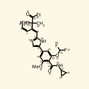 C/C=C\C(=C/c1ncc(-c2cc(OC)c(C(=O)NC3CC3)c(OC(F)F)c2)[nH]1)C(C)(C)C(=O)CC